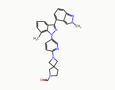 Cc1cccc2c(-c3cccc4nn(C)cc34)nn(-c3ccc(N4CC5(CCN(C=O)C5)C4)nc3)c12